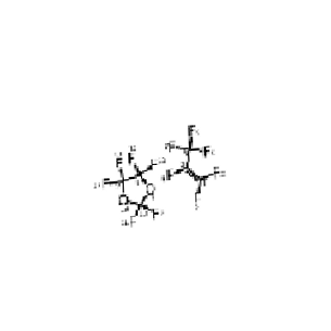 FC(F)=C(F)C(F)(F)F.FC1(F)OC(F)(F)C(F)(F)O1